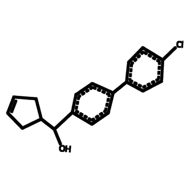 OC(c1ccc(-c2ccc(Cl)cc2)cc1)C1CC=CC1